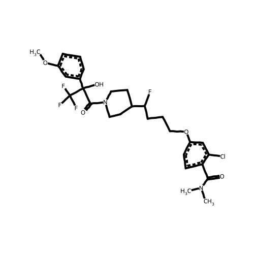 COc1cccc(C(O)(C(=O)N2CCC(C(F)CCCOc3ccc(C(=O)N(C)C)c(Cl)c3)CC2)C(F)(F)F)c1